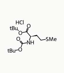 CSCC[C@@H](NC(=O)OC(C)(C)C)C(=O)OC(C)(C)C.Cl